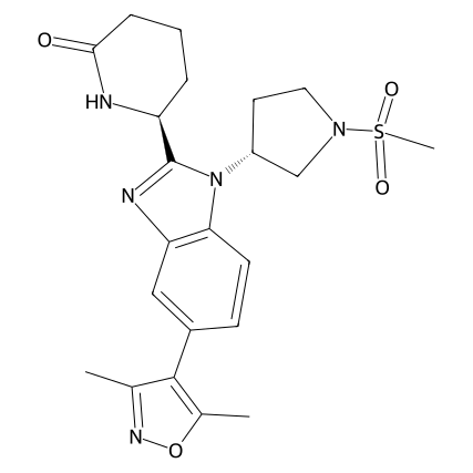 Cc1noc(C)c1-c1ccc2c(c1)nc([C@@H]1CCCC(=O)N1)n2[C@@H]1CCN(S(C)(=O)=O)C1